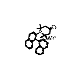 COc1ccc2ccccc2c1-c1c(P2C(C)(C)CC(=O)CC2(C)C)ccc2ccccc12